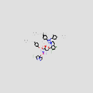 COc1ccc(COc2nc(OCC34CCCN3C[C@@H](F)C4)nc3c2C(=O)OC(c2c(F)cc(F)c4ccc(N(Cc5ccc(OC)cc5OC)Cc5ccc(OC)cc5OC)nc24)C3)cc1